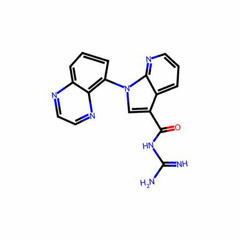 N=C(N)NC(=O)c1cn(-c2cccc3nccnc23)c2ncccc12